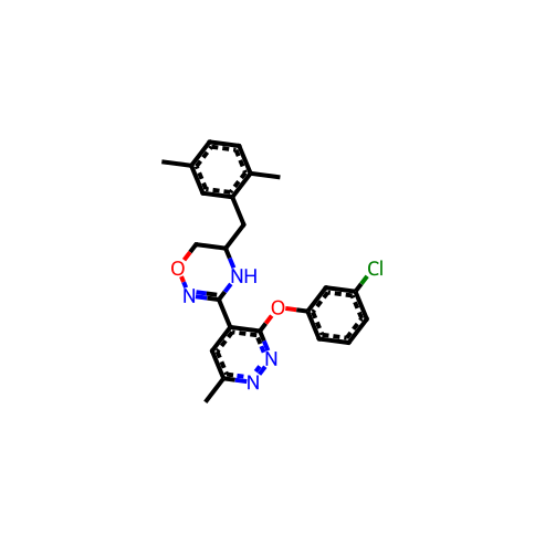 Cc1ccc(C)c(CC2CON=C(c3cc(C)nnc3Oc3cccc(Cl)c3)N2)c1